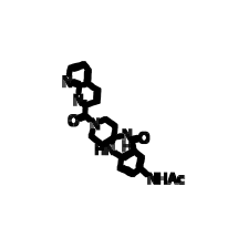 CC(=O)Nc1ccc2c(c1)C(=O)NC1(CCN(C(=O)c3ccc4cccnc4n3)CC1)N2